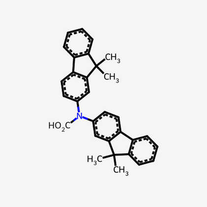 CC1(C)c2ccccc2-c2ccc(N(C(=O)O)c3ccc4c(c3)C(C)(C)c3ccccc3-4)cc21